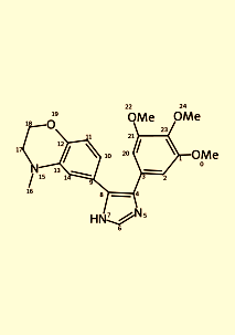 COc1cc(-c2nc[nH]c2-c2ccc3c(c2)N(C)CCO3)cc(OC)c1OC